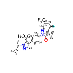 CC(C1CC1)n1cc(-c2ccc(NC(=O)C3(c4ccc(C(F)(F)F)cc4F)CC3)cc2C(=O)O)cn1